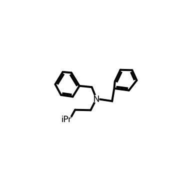 CC(C)CCN(Cc1ccccc1)Cc1ccccc1